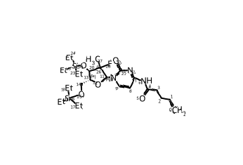 C=CCCC(=O)Nc1ccn([C@@H]2O[C@H](CO[Si](CC)(CC)CC)C(O[Si](CC)(CC)CC)[C@]2(C)F)c(=O)n1